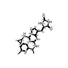 Cc1cccc(C(C)Nc2nc(NC3CC3)n3ncc(/C=C4\NC(=O)NC4=O)c3n2)n1